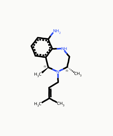 CC(C)=CCN1[C@@H](C)CNc2c(N)cccc2[C@@H]1C